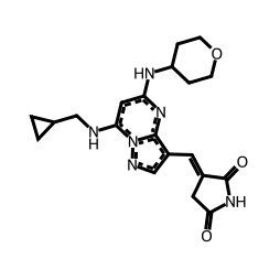 O=C1C/C(=C\c2cnn3c(NCC4CC4)cc(NC4CCOCC4)nc23)C(=O)N1